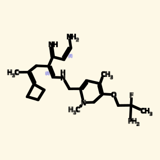 CC1=C(OCC(C)(F)P)CN(C)C(CN/C=C(/CC(C)=C2CCC2)C(=N)/C=C\N)=C1